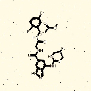 COC(=O)C[C@H](NC(=O)CNC(=O)c1cc(NC2=NCC(F)CN2)c2cn[nH]c2c1)c1cc(Br)ccc1F